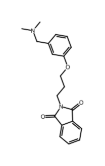 CN(C)Cc1cccc(OCCCN2C(=O)c3ccccc3C2=O)c1